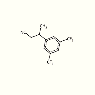 CC(CC#N)c1cc(C(F)(F)F)cc(C(F)(F)F)c1